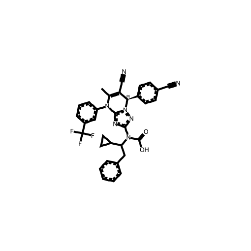 CC1=C(C#N)[C@@H](c2ccc(C#N)cc2)n2nc(N(C(=O)O)C(Cc3ccccc3)C3CC3)nc2N1c1cccc(C(F)(F)F)c1